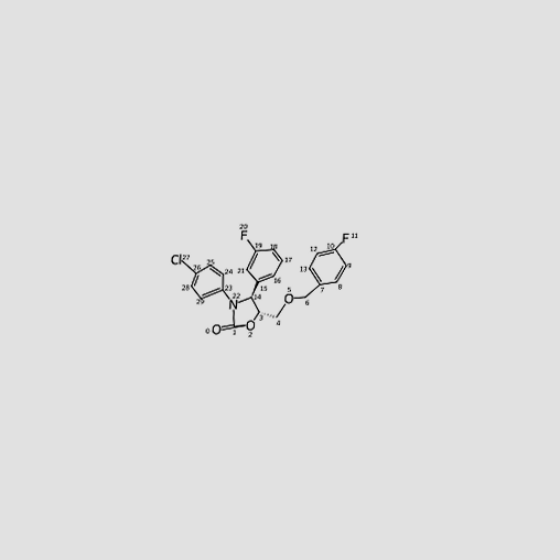 O=C1O[C@@H](COCc2ccc(F)cc2)[C@H](c2cccc(F)c2)N1c1ccc(Cl)cc1